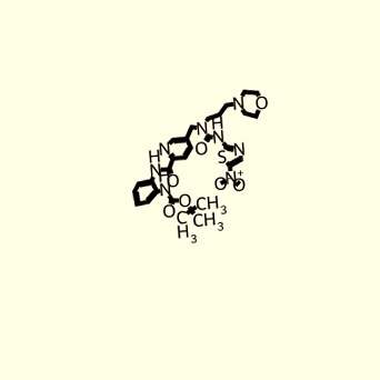 CC(C)(C)OC(=O)Nc1ccccc1NC(=O)c1ccc(CN(CCCN2CCOCC2)C(=O)Nc2ncc([N+](=O)[O-])s2)cn1